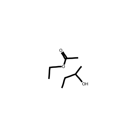 CCC(C)O.CCOC(C)=O